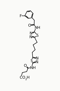 O=C(O)CCC(=O)Nc1nnc(CCCCc2nnc(NC(=O)Cc3cccc(F)c3)s2)s1